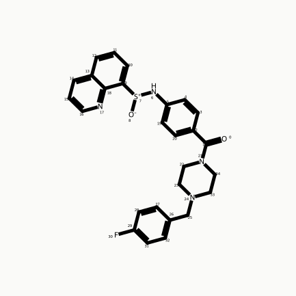 O=C(c1ccc(N[S+]([O-])c2cccc3cccnc23)cc1)N1CCN(Cc2ccc(F)cc2)CC1